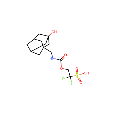 O=C(NCC12CC3CC(CC(O)(C3)C1)C2)OCC(F)(F)S(=O)(=O)O